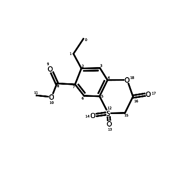 CCc1cc2c(cc1C(=O)OC)S(=O)(=O)CC(=O)O2